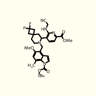 COC(=O)c1ccc(C2CC3(CCN2Cc2c(OC)cc(C)c4c2ccn4C(=O)OC(C)(C)C)CC(F)(F)C3)c(NCC#N)n1